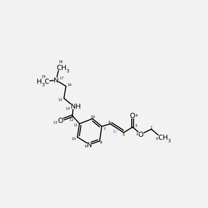 CCOC(=O)/C=C/c1cncc(C(=O)NCCN(C)C)c1